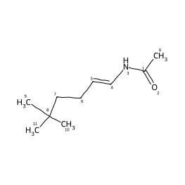 CC(=O)N/C=C/CCC(C)(C)C